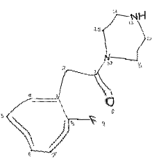 O=C(Cc1ccccc1F)N1CCNCC1